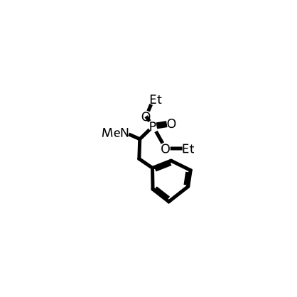 [CH2]NC(Cc1ccccc1)P(=O)(OCC)OCC